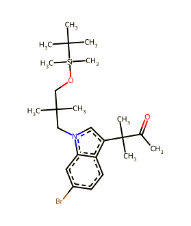 CC(=O)C(C)(C)c1cn(CC(C)(C)CO[Si](C)(C)C(C)(C)C)c2cc(Br)ccc12